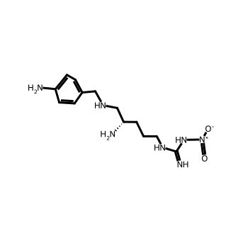 N=C(NCCC[C@H](N)CNCc1ccc(N)cc1)N[N+](=O)[O-]